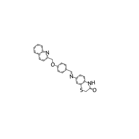 O=C1CSc2cc(N=Cc3ccc(OCc4ccc5ccccc5n4)cc3)ccc2N1